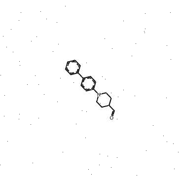 O=CC1CCN(c2ccc(-c3ccccc3)cc2)CC1